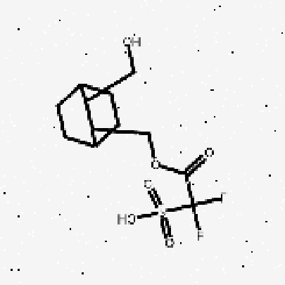 O=C(OCC1C2CCC(CC2)C1CO)C(F)(F)S(=O)(=O)O